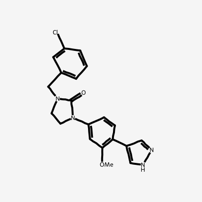 COc1cc(N2CCN(Cc3cccc(Cl)c3)C2=O)ccc1-c1cn[nH]c1